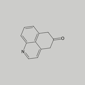 O=C1Cc2cccc3nccc(c23)C1